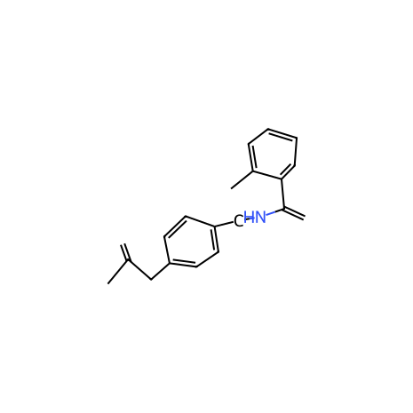 C=C(C)Cc1ccc(CNC(=C)c2ccccc2C)cc1